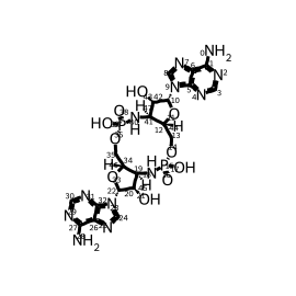 Nc1ncnc2c1ncn2[C@@H]1O[C@@H]2COP(=O)(O)N[C@H]3[C@@H](O)[C@H](n4cnc5c(N)ncnc54)O[C@@H]3COP(=O)(O)N[C@H]2[C@H]1O